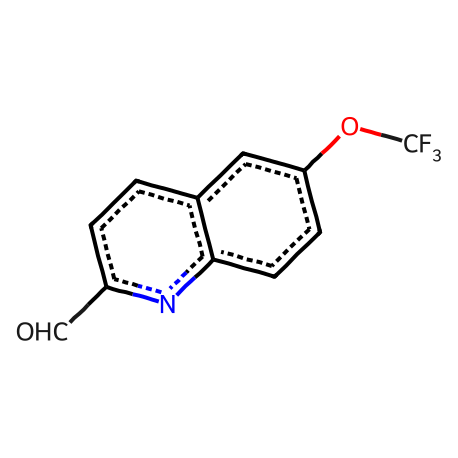 O=Cc1ccc2cc(OC(F)(F)F)ccc2n1